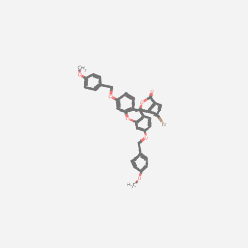 COc1ccc(COc2ccc3c(c2)Oc2cc(OCc4ccc(OC)cc4)ccc2C32OC(=O)c3ccc(Br)cc32)cc1